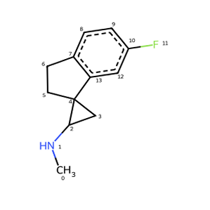 CNC1CC12CCc1ccc(F)cc12